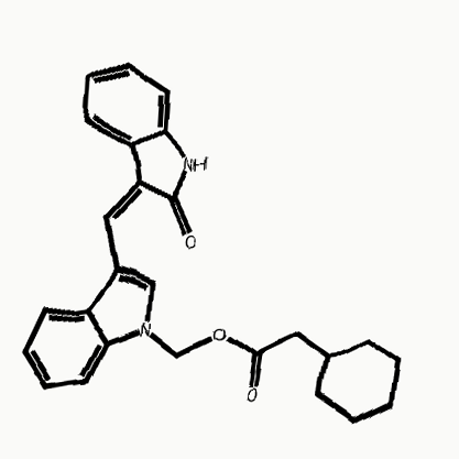 O=C(CC1CCCCC1)OCn1cc(/C=C2\C(=O)Nc3ccccc32)c2ccccc21